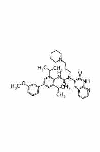 COc1cccc(-c2cc(C(C)C)c(NC(=O)N(CCCN3CCCCC3)c3cc4cccnc4[nH]c3=O)c(C(C)C)c2)c1